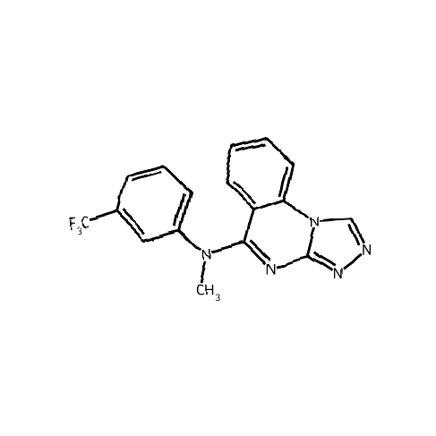 CN(c1cccc(C(F)(F)F)c1)c1nc2nncn2c2ccccc12